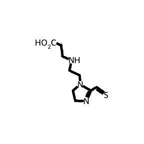 O=C(O)CCNCCN1CCN=C1C=S